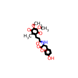 COC1=C(OC)C(=O)C(CCC(=O)NC(Cc2ccc(O)cc2)C(=O)O)=C(C)C1=O